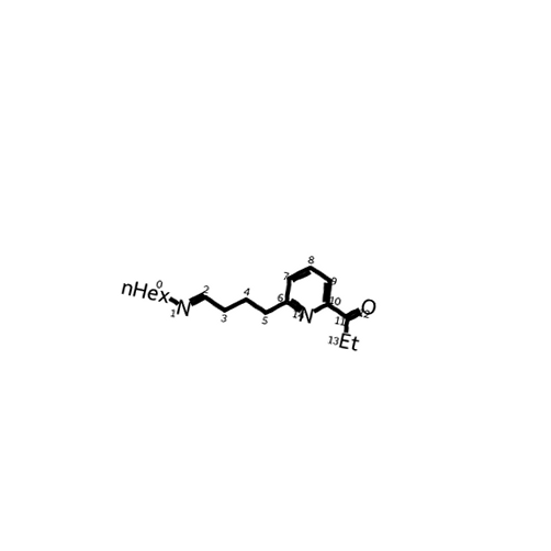 CCCCCCN=CCCCc1cccc(C(=O)CC)n1